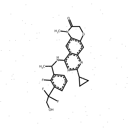 CC(Nc1nc(C2CC2)nc2cc3c(cc12)N(C)C(=O)CO3)c1cccc(C(F)(F)CO)c1F